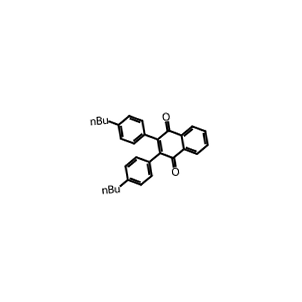 CCCCc1ccc(C2=C(c3ccc(CCCC)cc3)C(=O)c3ccccc3C2=O)cc1